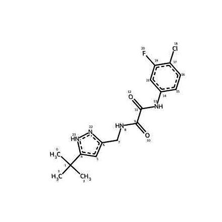 CC(C)(C)c1cc(CNC(=O)C(=O)Nc2ccc(Cl)c(F)c2)n[nH]1